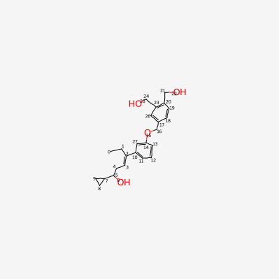 CCC(=CCC(O)C1CC1)c1cccc(OCc2ccc(CO)c(CO)c2)c1